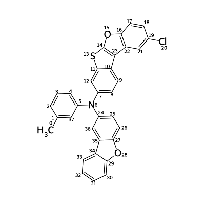 Cc1cccc(N(c2ccc3c(c2)sc2oc4ccc(Cl)cc4c23)c2ccc3oc4ccccc4c3c2)c1